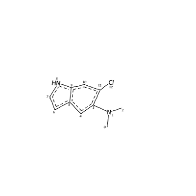 CN(C)c1cc2c[c][nH]c2cc1Cl